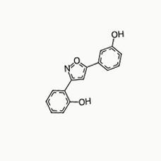 Oc1cccc(-c2cc(-c3ccccc3O)no2)c1